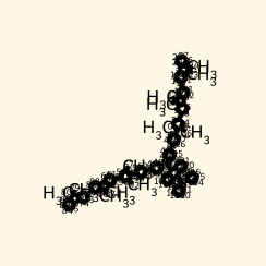 Cc1cc(-c2ccc3c(c2)C(C)(C)c2cc(-c4ccc5c(c4)C(C)(C)c4ccccc4-5)ccc2-3)cc(C)c1-c1ccc(-c2ccc(N(c3ccc(-c4ccc(-c5c(C)cc(-c6ccc7c(c6)C(C)(C)c6cc(-c8ccc9c(c8)C(C)(C)c8ccccc8-9)ccc6-7)cc5C)cc4)cc3)c3c4ccccc4c(N(c4ccccc4)c4ccccc4)c4ccccc34)cc2)cc1